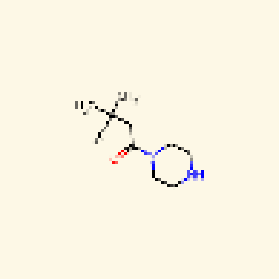 [CH2]C(C)(C)CC(=O)N1CCNCC1